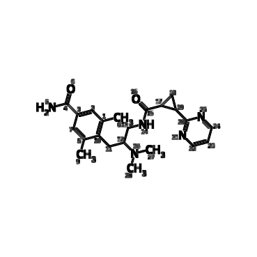 Cc1cc(C(N)=O)cc(C)c1CC(CNC(=O)C1CC1c1ncccn1)N(C)C